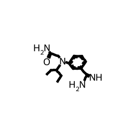 CCC(CC)N(CC(N)=O)c1cccc(C(=N)N)c1